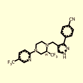 N#Cc1ccc(-c2n[nH]cc2CN2CCN(c3ccc(C(F)(F)F)cn3)C[C@@H]2C(F)(F)F)cc1